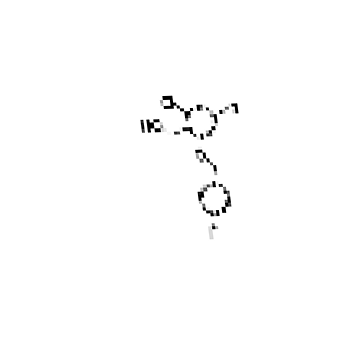 OCc1c(Cl)cc(Cl)cc1OCc1ccc(F)cc1